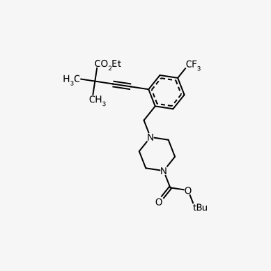 CCOC(=O)C(C)(C)C#Cc1cc(C(F)(F)F)ccc1CN1CCN(C(=O)OC(C)(C)C)CC1